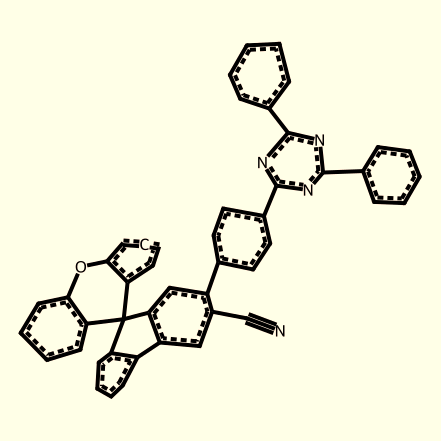 N#Cc1cc2c(cc1-c1ccc(-c3nc(-c4ccccc4)nc(-c4ccccc4)n3)cc1)C1(c3ccccc3Oc3ccccc31)c1ccccc1-2